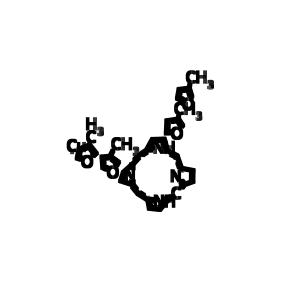 C1=Cc2cc3ccc(cc4nc(cc5ccc(cc1n2)[nH]5)C=C4)[nH]3.Cc1ccoc1.Cc1ccoc1.Cc1ccoc1.Cc1ccoc1.[Cu]